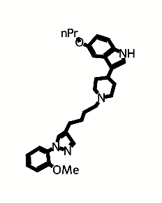 CCCOc1ccc2[nH]cc(C3CCN(CCCCc4cnn(-c5ccccc5OC)c4)CC3)c2c1